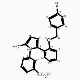 CCOC(=O)c1cccc(-n2c(C)ccc2-c2ccccc2OCc2ccc(F)cc2)c1